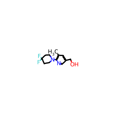 Cc1cc(CO)cnc1N1CCC(F)(F)CC1